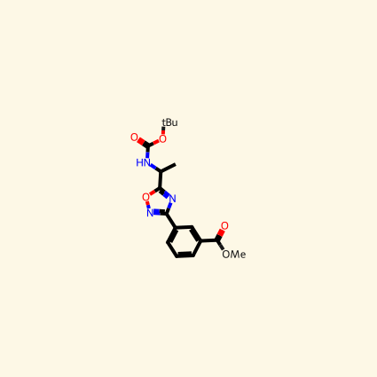 COC(=O)c1cccc(-c2noc(C(C)NC(=O)OC(C)(C)C)n2)c1